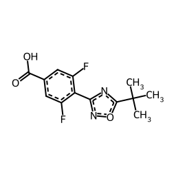 CC(C)(C)c1nc(-c2c(F)cc(C(=O)O)cc2F)no1